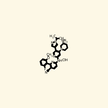 COc1cccc(F)c1-c1nc(Nc2cc(N3CCC[C@H](N)C3)c(-c3cnn(C(C)C)c3)cn2)ccc1C#N.Cl